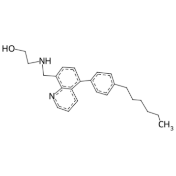 CCCCCCc1ccc(-c2ccc(CNCCO)c3ncccc23)cc1